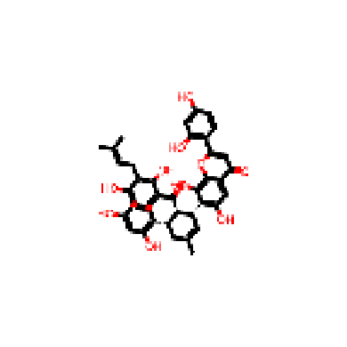 CC(C)=CCC1C(O)=CC=C(C(=O)[C@@H]2[C@@H](c3ccc(O)cc3O)CC(C)=C[C@H]2c2c(O)cc3c(=O)cc(-c4ccc(O)cc4O)oc3c2O)C1O